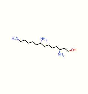 NCCCCCC(N)CCCCC(N)CCO